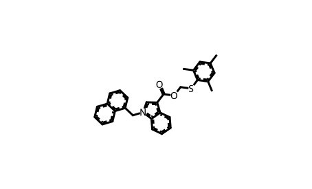 Cc1cc(C)c(SCOC(=O)c2cn(Cc3cccc4ccccc34)c3ccccc23)c(C)c1